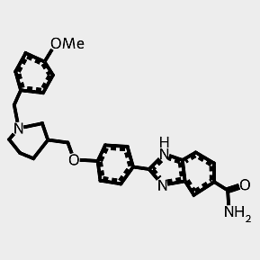 COc1ccc(CN2CCCC(COc3ccc(-c4nc5cc(C(N)=O)ccc5[nH]4)cc3)C2)cc1